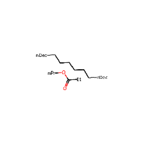 CCCCCCCCCCCCCCCCCCCCCCCCCC.CCCOC(=O)CC